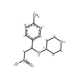 Cc1ncc(C(C[N+](=O)[O-])OC2CCOCC2)cn1